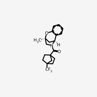 C[C@@]12C[C@@H](c3ccccc3O1)N(C(=O)C13CCC(C(F)(F)F)(CC1)C3)C2